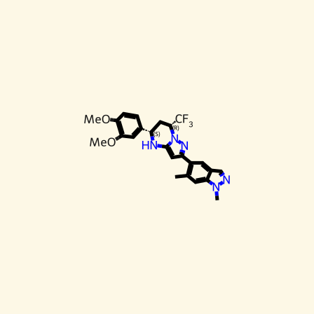 COc1ccc([C@@H]2C[C@H](C(F)(F)F)n3nc(-c4cc5cnn(C)c5cc4C)cc3N2)cc1OC